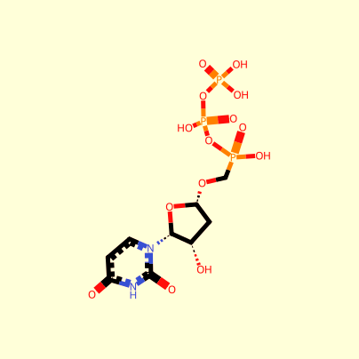 O=c1ccn([C@@H]2O[C@H](OCP(=O)(O)OP(=O)(O)OP(=O)(O)O)C[C@@H]2O)c(=O)[nH]1